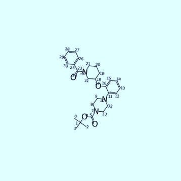 CC(C)(C)OC(=O)N1CCN(c2ccccc2OC2CCCN(C(=O)c3ccccc3)C2)CC1